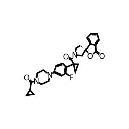 O=C1O[C@]2(CCN(C(=O)C3(c4ccc(N5CCN(C(=O)C6CC6)CC5)cc4F)CC3)C2)c2ccccc21